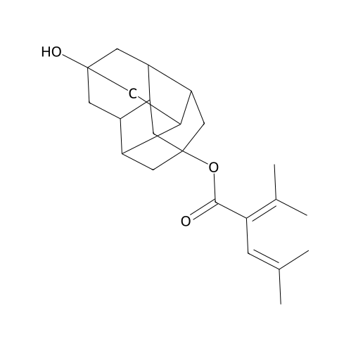 CC(C)=CC(C(=O)OC12CC3C4CC5(O)CC3C(C1)C(C5)C4C2)=C(C)C